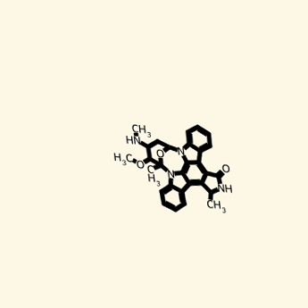 CNC1CC2OC(C)(C1OC)n1c3ccccc3c3c4c(c5c6ccccc6n2c5c31)C(=O)NC4C